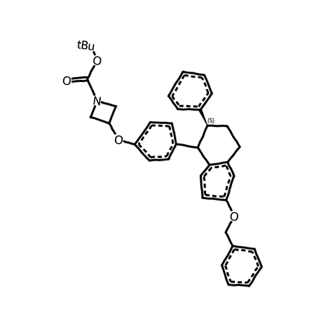 CC(C)(C)OC(=O)N1CC(Oc2ccc(C3c4ccc(OCc5ccccc5)cc4CC[C@@H]3c3ccccc3)cc2)C1